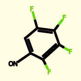 O=Nc1cc(F)c(F)c(F)c1F